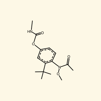 CNC(=O)Oc1ccc(N(OC)C(C)=O)c(C(C)(C)C)c1